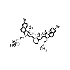 CCCCCC1=C(/C=C/C2=C(Cl)C(=C/C=C3/N(CCCCS(=O)(=O)O)c4ccc5cc(Br)ccc5c4C3(C)C)/CCC2)C(C)(C)c2c1ccc1cc(Br)ccc21